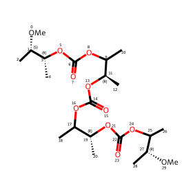 CO[C@@H](C)[C@@H](C)OC(=O)OC(C)[C@@H](C)OC(=O)OC(C)[C@@H](C)OC(=O)OC(C)[C@@H](C)OC